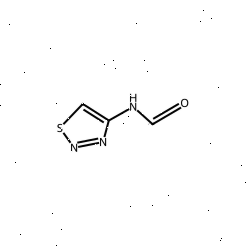 O=[C]Nc1csnn1